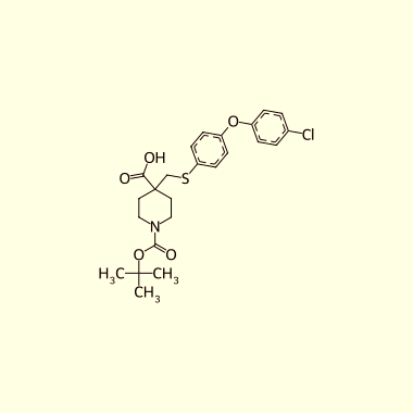 CC(C)(C)OC(=O)N1CCC(CSc2ccc(Oc3ccc(Cl)cc3)cc2)(C(=O)O)CC1